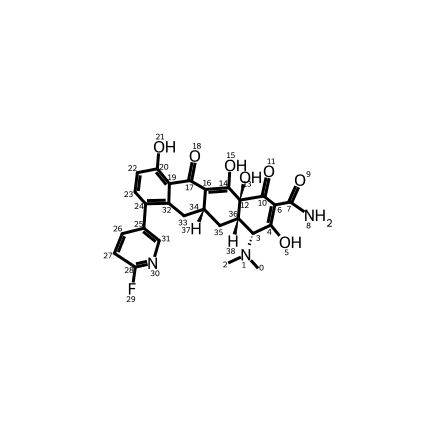 CN(C)[C@H]1C(O)=C(C(N)=O)C(=O)[C@@]2(O)C(O)=C3C(=O)c4c(O)ccc(-c5ccc(F)nc5)c4C[C@H]3C[C@@H]12